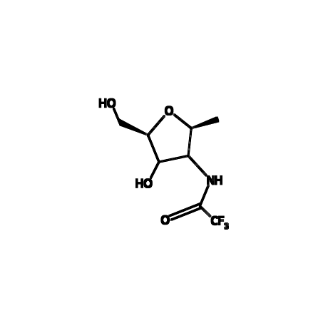 C[C@@H]1O[C@H](CO)C(O)C1NC(=O)C(F)(F)F